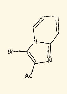 CC(=O)c1nc2ccccn2c1Br